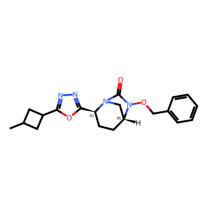 CC1CC(c2nnc([C@@H]3CC[C@@H]4CN3C(=O)N4OCc3ccccc3)o2)C1